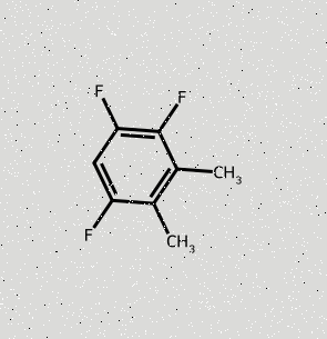 Cc1c(F)cc(F)c(F)c1C